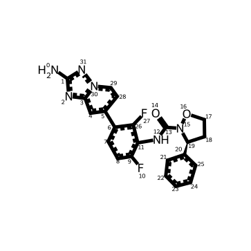 Nc1nc2cc(-c3ccc(F)c(NC(=O)N4OCC[C@H]4c4ccccc4)c3F)ccn2n1